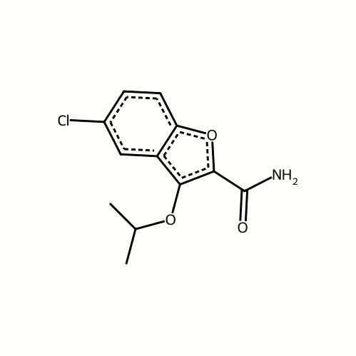 CC(C)Oc1c(C(N)=O)oc2ccc(Cl)cc12